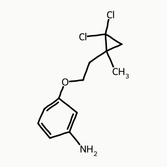 CC1(CCOc2cccc(N)c2)CC1(Cl)Cl